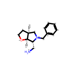 NC[C@@H]1[C@H]2OCC[C@H]2CN1Cc1ccccc1